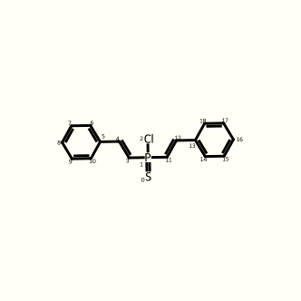 S=P(Cl)(/C=C/c1ccccc1)/C=C/c1ccccc1